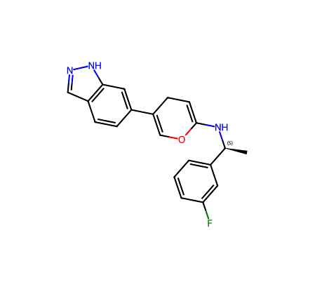 C[C@H](NC1=CCC(c2ccc3cn[nH]c3c2)=CO1)c1cccc(F)c1